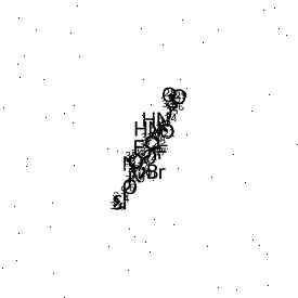 C[Si](C)(C)CCOCn1cc(Br)c2c(Oc3c(F)cc(NC(=O)NCC4CS(=O)(=O)C4)cc3F)ccnc21